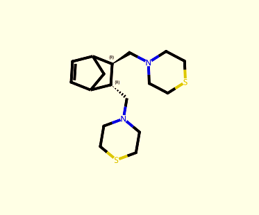 C1=CC2CC1[C@@H](CN1CCSCC1)[C@@H]2CN1CCSCC1